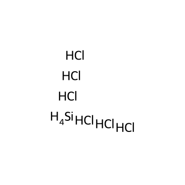 Cl.Cl.Cl.Cl.Cl.Cl.[SiH4]